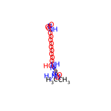 CCCN(OCC)C(=O)C1=Cc2ccc(-c3cnc(C(O)NCCOCCOCCOCCOCCOCCOCCOCCOCCOCCNC(=O)CN4C(=O)C=CC4=O)nc3)cc2N=C(N)C1